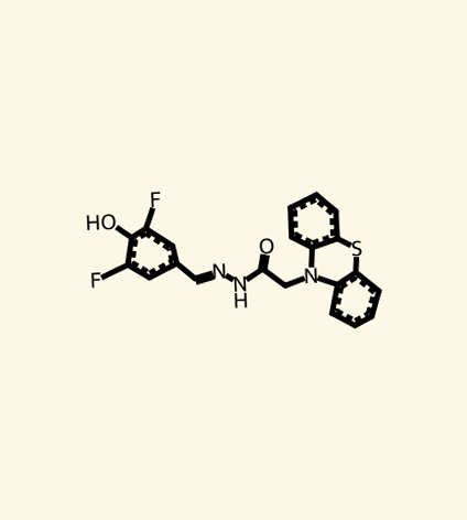 O=C(CN1c2ccccc2Sc2ccccc21)NN=Cc1cc(F)c(O)c(F)c1